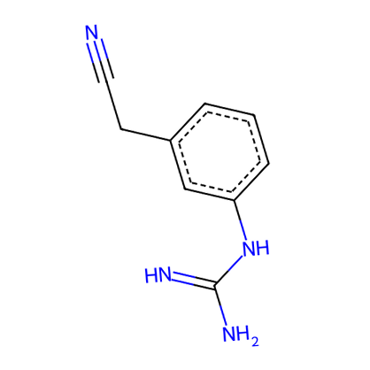 N#CCc1cccc(NC(=N)N)c1